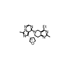 CCc1nc(C)nc2c1CN(c1ncnn3c(C)nc([C@@H]4CCOC4)c13)CC2